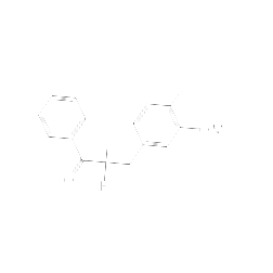 COc1cc(CC(F)(F)C(=O)c2ccccc2)ccc1O